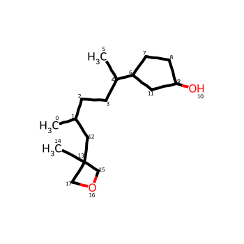 CC(CCC(C)C1CCC(O)C1)CC1(C)COC1